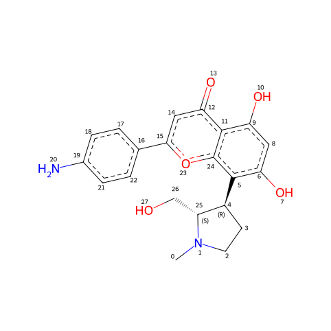 CN1CC[C@H](c2c(O)cc(O)c3c(=O)cc(-c4ccc(N)cc4)oc23)[C@H]1CO